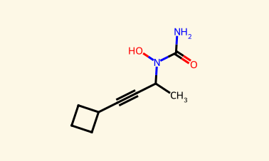 CC(C#CC1CCC1)N(O)C(N)=O